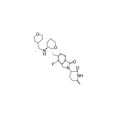 C=C1CCC(N2Cc3c(ccc(C[C@H]4OCCC[C@@H]4N[C@H](C)C4CCOCC4)c3F)C2=O)C(=O)N1